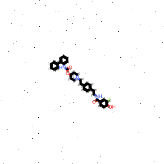 O=C(Nc1ccccc1-c1ccccc1)OC1CCN(CCc2ccc(CCNC(=O)c3ccc(O)c(F)c3)cc2)CC1